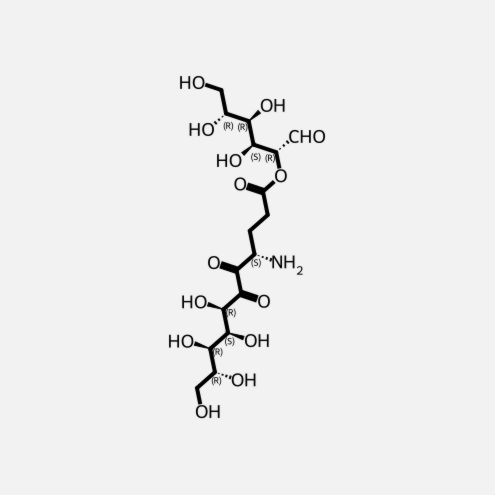 N[C@@H](CCC(=O)O[C@@H](C=O)[C@@H](O)[C@H](O)[C@H](O)CO)C(=O)C(=O)[C@H](O)[C@@H](O)[C@H](O)[C@H](O)CO